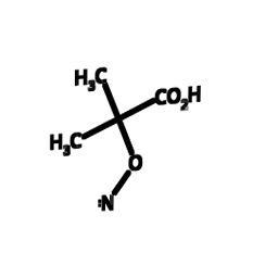 CC(C)(O[N])C(=O)O